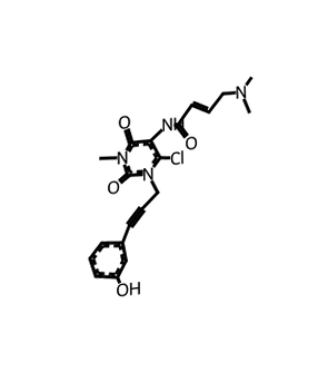 CN(C)C/C=C/C(=O)Nc1c(Cl)n(CC#Cc2cccc(O)c2)c(=O)n(C)c1=O